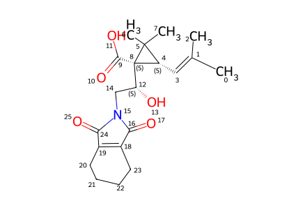 CC(C)=C[C@H]1C(C)(C)[C@]1(C(=O)O)[C@H](O)CN1C(=O)C2=C(CCCC2)C1=O